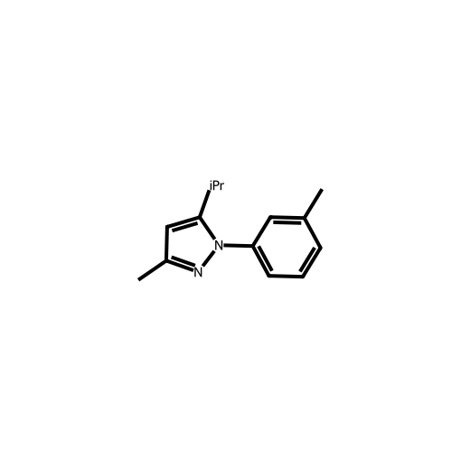 Cc1cccc(-n2nc(C)cc2C(C)C)c1